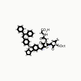 CCCCCCCCN1C(=O)/C(=c2\s/c(=C/c3ccc4c(c3)C3CCCC3N4c3ccc(C=C(c4ccccc4)c4ccccc4)cc3)c(=O)n2CC(=O)NCC(=O)O)SC1=S